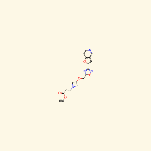 CC(C)(C)OC(=O)CCN1CC(OCc2nc(-c3cc4cnccc4o3)no2)C1